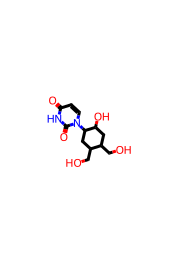 O=c1ccn(C2CC(CO)C(CO)CC2O)c(=O)[nH]1